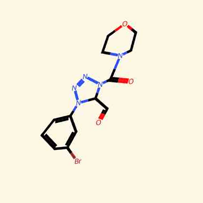 O=CC1N(C(=O)N2CCOCC2)N=NN1c1cccc(Br)c1